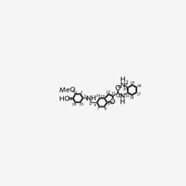 COc1cc(NCc2ccc3oc(C(=O)Nc4ccccc4N)cc3c2)ccc1O